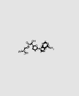 CC(C)N(CO[PH](=O)C(O)[C@@H]1CC[C@H](n2cnc3c(N)ncnc32)O1)C(C)C